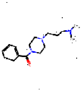 CN(C)CCCN1CCN(C(=O)C2=CC=CC[CH]2)CC1